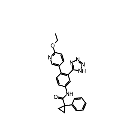 CCOc1ccc(-c2ccc(NC(=O)C3(c4ccccc4)CC3)cc2-c2nnn[nH]2)cn1